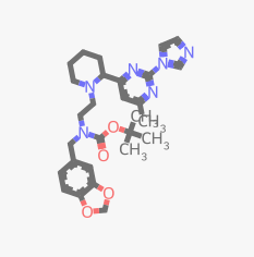 Cc1cc(C2CCCCN2CCN(Cc2ccc3c(c2)OCO3)C(=O)OC(C)(C)C)nc(-n2ccnc2)n1